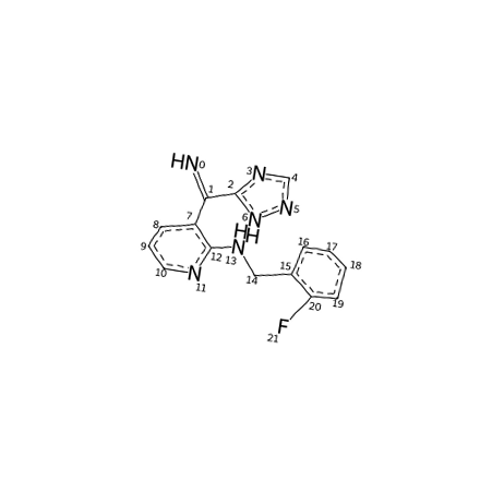 N=C(c1ncn[nH]1)c1cccnc1NCc1ccccc1F